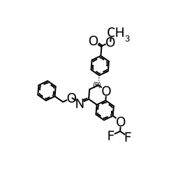 COC(=O)c1ccc([C@H]2CC(=NOCc3ccccc3)c3ccc(OC(F)F)cc3O2)cc1